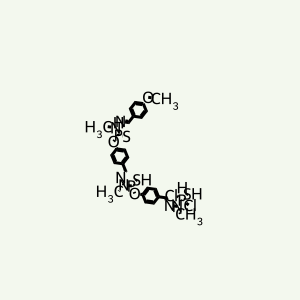 COc1ccc(C=NN(C)[PH](=S)Oc2ccc(C=NN(C)P(S)Oc3ccc(C=NN(C)[PH](S)(Cl)Cl)cc3)cc2)cc1